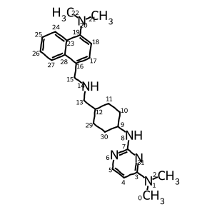 CN(C)c1ccnc(NC2CCC(CNCc3ccc(N(C)C)c4ccccc34)CC2)n1